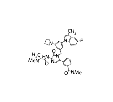 CNC(=O)c1cccc(-c2cnc(NC(=O)C(C)NC)c(=O)n2Cc2cc(N3CCCC3)cc(-n3cc(C)c4cc(F)ccc43)c2)c1